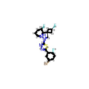 Fc1ccc(Br)cc1-c1nnc(NC[C@]2(c3ncccc3F)C[C@H](F)C2)s1